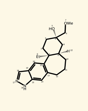 CC[C@]12CC[C@@](O)(COC)C[C@H]1CCCc1cc3[nH]ncc3cc12